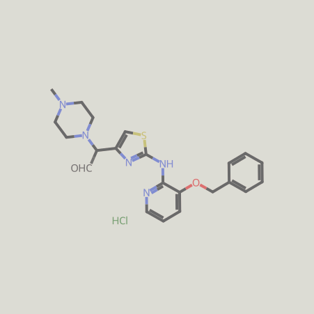 CN1CCN(C(C=O)c2csc(Nc3ncccc3OCc3ccccc3)n2)CC1.Cl